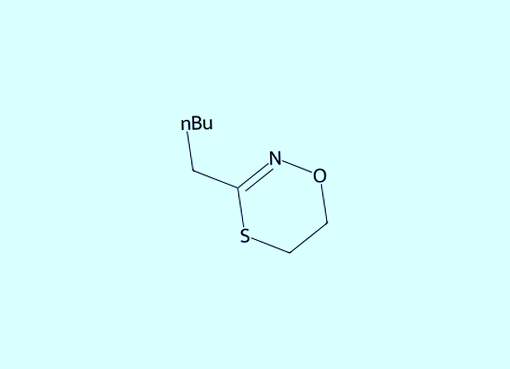 CCCCCC1=NOCCS1